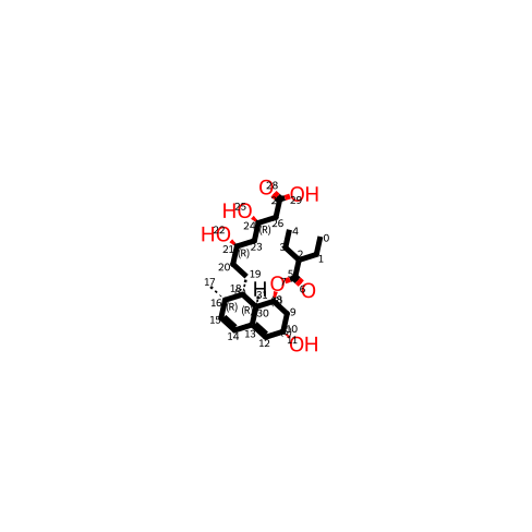 CCC(CC)C(=O)O[C@H]1C[C@H](O)C=C2C=C[C@H](C)[C@H](CC[C@@H](O)C[C@@H](O)CC(=O)O)[C@H]21